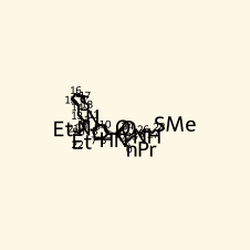 CCC[C@H](NC(=O)c1ccc2c(c1)nc(Cc1cccs1)n2C(CC)CC)C(=O)NCCSC